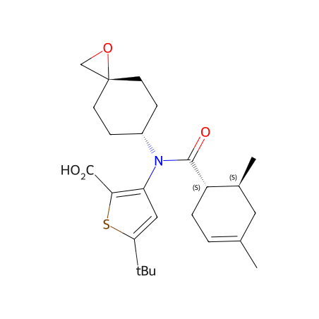 CC1=CC[C@H](C(=O)N(c2cc(C(C)(C)C)sc2C(=O)O)[C@H]2CC[C@@]3(CC2)CO3)[C@@H](C)C1